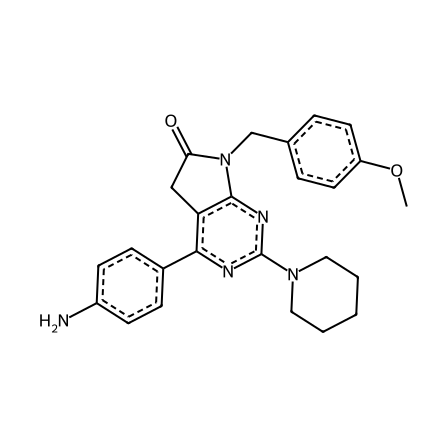 COc1ccc(CN2C(=O)Cc3c(-c4ccc(N)cc4)nc(N4CCCCC4)nc32)cc1